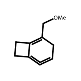 COCC1=C2CCC2=C=CC1